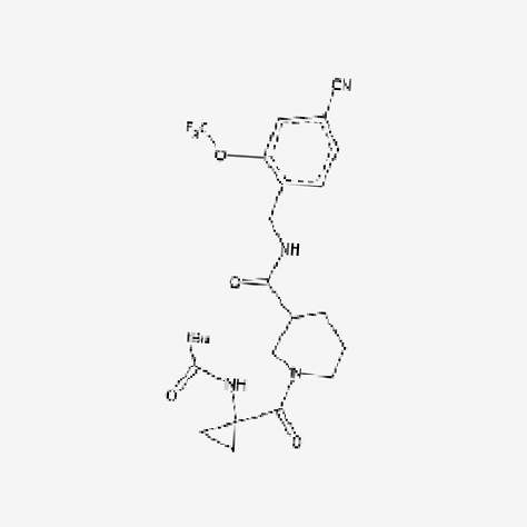 CC(C)(C)C(=O)NC1(C(=O)N2CCCC(C(=O)NCc3ccc(C#N)cc3OC(F)(F)F)C2)CC1